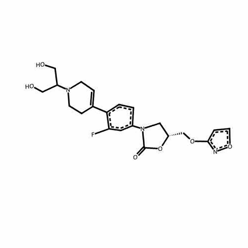 O=C1O[C@@H](COc2ccon2)CN1c1ccc(C2=CCN(C(CO)CO)CC2)c(F)c1